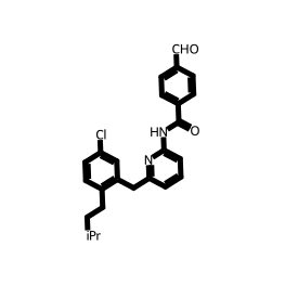 CC(C)CCc1ccc(Cl)cc1Cc1cccc(NC(=O)c2ccc(C=O)cc2)n1